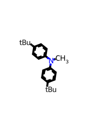 CN(c1ccc(C(C)(C)C)cc1)c1ccc(C(C)(C)C)cc1